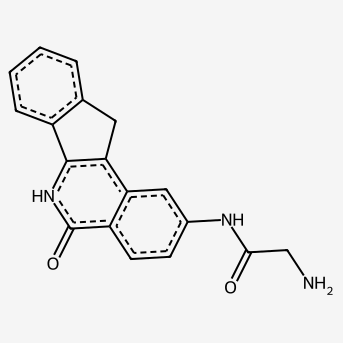 NCC(=O)Nc1ccc2c(=O)[nH]c3c(c2c1)Cc1ccccc1-3